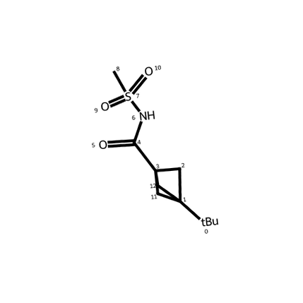 CC(C)(C)C12CC(C(=O)NS(C)(=O)=O)(C1)C2